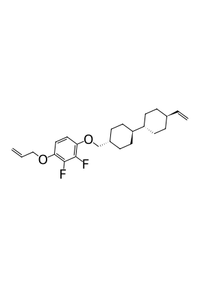 C=CCOc1ccc(OC[C@H]2CC[C@H]([C@H]3CC[C@H](C=C)CC3)CC2)c(F)c1F